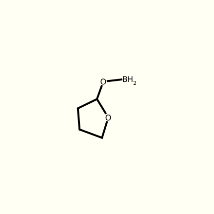 BOC1CCCO1